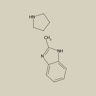 C1CCNC1.Cc1nc2ccccc2[nH]1